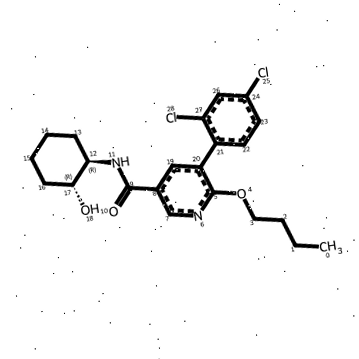 CCCCOc1ncc(C(=O)N[C@@H]2CCCC[C@H]2O)cc1-c1ccc(Cl)cc1Cl